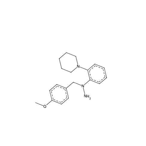 COc1ccc(CN(N)c2ccccc2N2CCCCC2)cc1